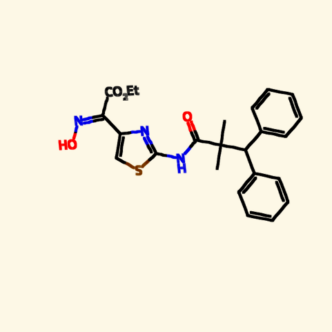 CCOC(=O)/C(=N/O)c1csc(NC(=O)C(C)(C)C(c2ccccc2)c2ccccc2)n1